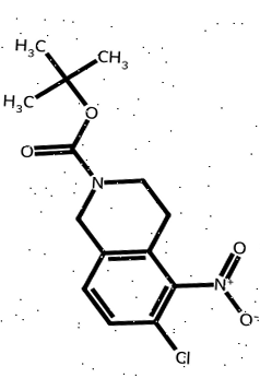 CC(C)(C)OC(=O)N1CCc2c(ccc(Cl)c2[N+](=O)[O-])C1